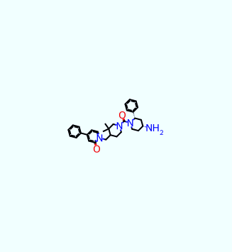 CC1(C)CN(C(=O)N2CC[C@@H](N)C[C@H]2c2ccccc2)CCC1Cn1ccc(-c2ccccc2)cc1=O